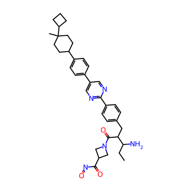 CCC(N)C(Cc1ccc(-c2ncc(-c3ccc(C4CCC(C)(C5CCC5)CC4)cc3)cn2)cc1)C(=O)N1CC(C(=O)N=O)C1